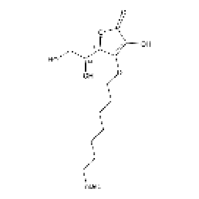 CCCCCCCCCCCCCCCCCOC1=C(O)C(=O)O[C@@H]1[C@@H](O)CO